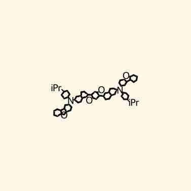 CC(C)c1ccc(N(c2ccc3c(ccc4c5cc6oc7c8ccc(N(c9ccc(C(C)C)cc9)c9ccc%10oc%11ccccc%11c%10c9)cc8ccc7c6cc5oc34)c2)c2ccc3oc4ccccc4c3c2)cc1